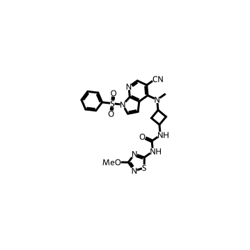 COc1nsc(NC(=O)NC2CC(N(C)c3c(C#N)cnc4c3ccn4S(=O)(=O)c3ccccc3)C2)n1